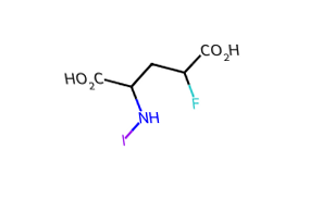 O=C(O)C(F)CC(NI)C(=O)O